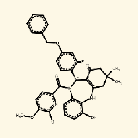 COc1ccc(C(=O)N2c3cccc(O)c3NC3=C(C(=O)CC(C)(C)C3)[C@@H]2c2ccc(OCc3ccccc3)cc2F)nc1Cl